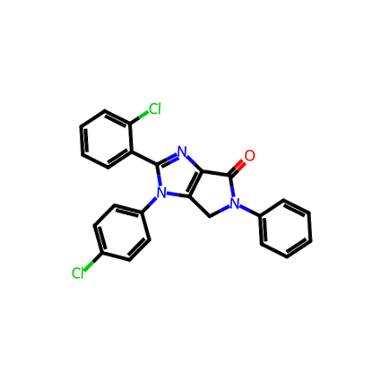 O=C1c2nc(-c3ccccc3Cl)n(-c3ccc(Cl)cc3)c2CN1c1ccccc1